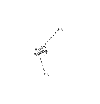 CCCCCCCCCCCCCCCCCCCC(=O)OC1CC(C)(C)N(OCC(C)(C)OCCCCCCCCCCCCCCCC)C(C)(C)C1